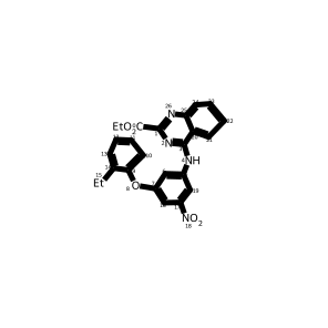 CCOC(=O)c1nc(Nc2cc(Oc3ccccc3CC)cc([N+](=O)[O-])c2)c2ccccc2n1